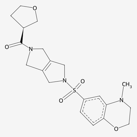 CN1CCOc2ccc(S(=O)(=O)N3CC4=C(CN(C(=O)[C@H]5CCOC5)C4)C3)cc21